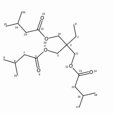 CCC(COC(=O)CC(C)C)(COC(=O)CC(C)C)COC(=O)CC(C)C